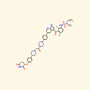 CCN(C)S(=O)(=O)Nc1ccc(F)c(C(=O)c2c[nH]c3ncc(-c4ccc(N5CCN(C(=O)CN6CCC(c7ccc(OC8CCC(=O)NC8=O)cc7)CC6)CC5)cc4)cc23)c1F